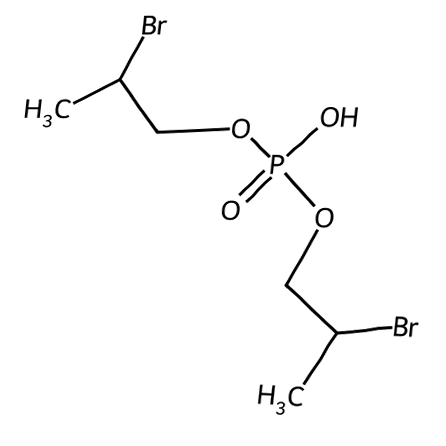 CC(Br)COP(=O)(O)OCC(C)Br